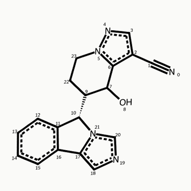 N#Cc1cnn2c1C(O)C([C@H]1c3ccccc3-c3cncn31)CC2